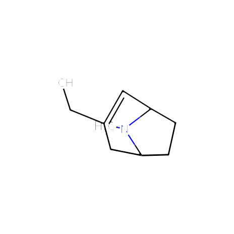 CCC1=CC2CCC(C1)N2C